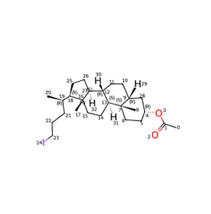 CC(=O)O[C@@H]1CC[C@@]2(C)[C@H](CC[C@@H]3[C@@H]2CC[C@]2(C)[C@@H]([C@H](C)CCCI)CC[C@@H]32)C1